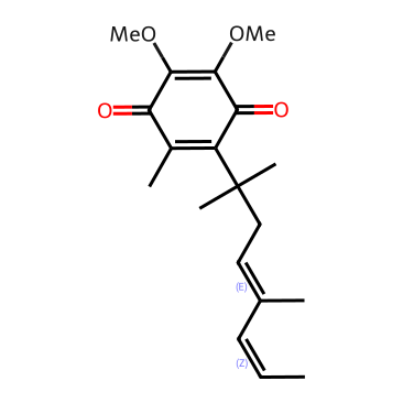 C/C=C\C(C)=C\CC(C)(C)C1=C(C)C(=O)C(OC)=C(OC)C1=O